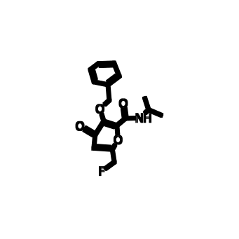 CC(C)NC(=O)c1oc(CF)cc(=O)c1OCc1ccccc1